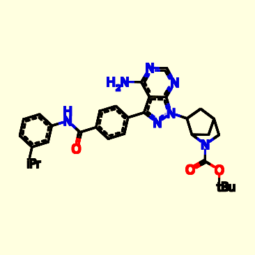 CC(C)c1cccc(NC(=O)c2ccc(-c3nn(C4CC5CC4N(C(=O)OC(C)(C)C)C5)c4ncnc(N)c34)cc2)c1